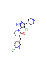 O=C1C(Cc2ccc(Cl)nc2)CCCN1c1[nH]nc(-c2ccncc2)c1Cl